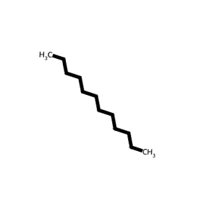 C[CH]C[CH]CCCCCCCC